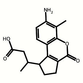 Cc1c(N)ccc2c3c(c(=O)oc12)CCC3C(C)CC(=O)O